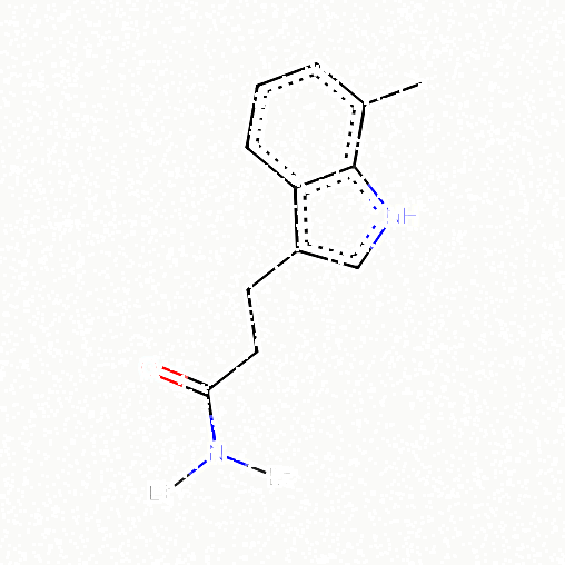 CCN(CC)C(=O)CCc1c[nH]c2c(C)cccc12